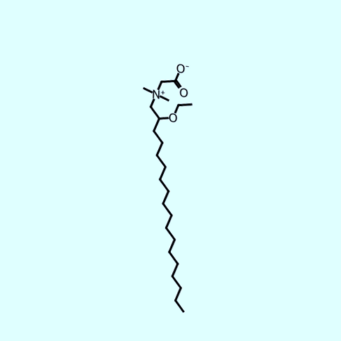 CCCCCCCCCCCCCCCCC(C[N+](C)(C)CC(=O)[O-])OCC